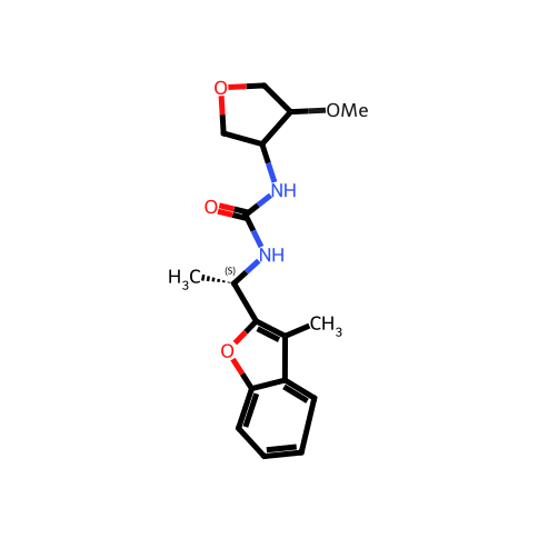 COC1COCC1NC(=O)N[C@@H](C)c1oc2ccccc2c1C